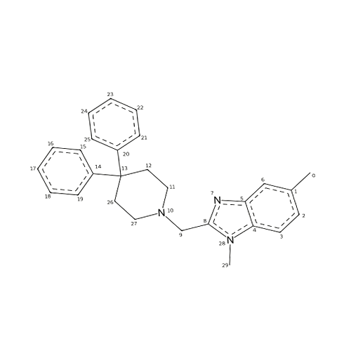 Cc1ccc2c(c1)nc(CN1CCC(c3ccccc3)(c3ccccc3)CC1)n2C